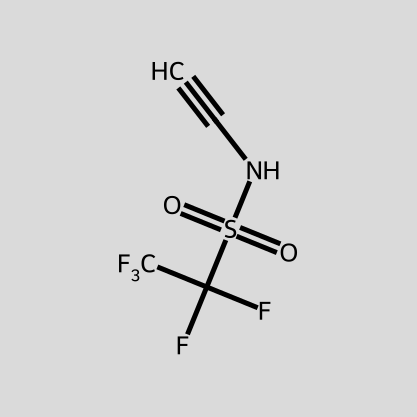 C#CNS(=O)(=O)C(F)(F)C(F)(F)F